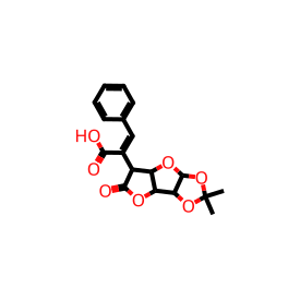 CC1(C)OC2OC3C(C(=Cc4ccccc4)C(=O)O)C(=O)OC3C2O1